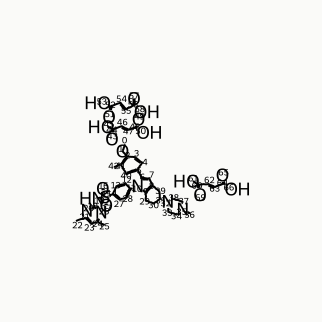 COc1ccc(-c2cc3c(n2-c2ccc(S(=O)(=O)Nc4nc(C)cc(C)n4)cc2)CC[C@@H](N2CCN(C)CC2)C3)cc1C.O=C(O)/C=C/C(=O)O.O=C(O)/C=C/C(=O)O.O=C(O)/C=C/C(=O)O